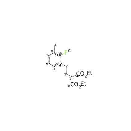 CCOC(=O)C(CCc1cccc(C)c1F)C(=O)OCC